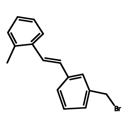 Cc1ccccc1C=Cc1cccc(CBr)c1